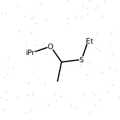 CCSC(C)OC(C)C